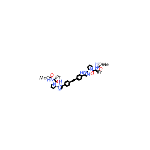 COC(=O)NC(C(=O)N1CCC[C@H]1c1ncc(-c2ccc(C#Cc3ccc(-c4cnc([C@@H]5CCCN5C(=O)[C@@H](NC(=O)OC)C(C)C)[nH]4)cc3)cc2)[nH]1)C(C)C